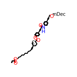 C=CC(=O)OCCCCCCCCCC#CC1CCC(C(=O)Oc2ccc(C#CC(=O)Nc3ccc(C#CCOCCCCCCCCCCC)cc3)cc2)CC1